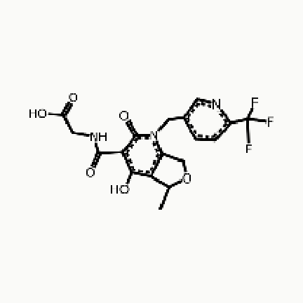 CC1OCc2c1c(O)c(C(=O)NCC(=O)O)c(=O)n2Cc1ccc(C(F)(F)F)nc1